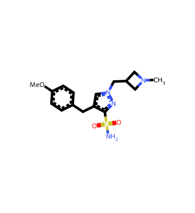 COc1ccc(Cc2cn(CC3CN(C)C3)nc2S(N)(=O)=O)cc1